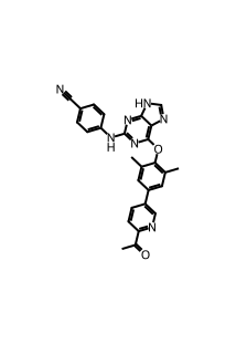 CC(=O)c1ccc(-c2cc(C)c(Oc3nc(Nc4ccc(C#N)cc4)nc4[nH]cnc34)c(C)c2)cn1